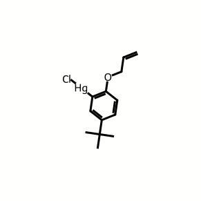 C=CCOc1ccc(C(C)(C)C)c[c]1[Hg][Cl]